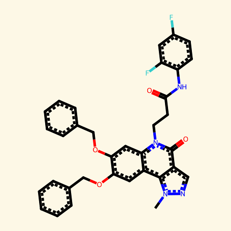 Cn1ncc2c(=O)n(CCC(=O)Nc3ccc(F)cc3F)c3cc(OCc4ccccc4)c(OCc4ccccc4)cc3c21